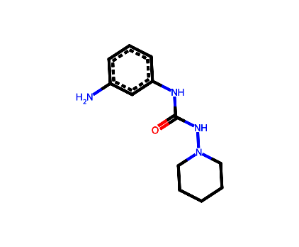 Nc1cccc(NC(=O)NN2CCCCC2)c1